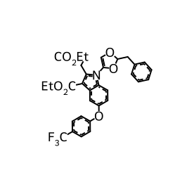 CCOC(=O)Cc1c(C(=O)OCC)c2cc(Oc3ccc(C(F)(F)F)cc3)ccc2n1C1=COC(Cc2ccccc2)O1